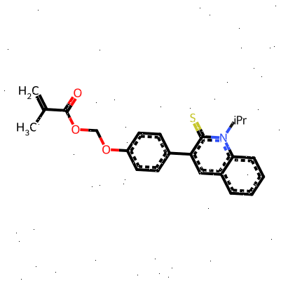 C=C(C)C(=O)OCOc1ccc(-c2cc3ccccc3n(C(C)C)c2=S)cc1